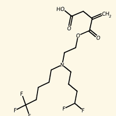 C=C(CC(=O)O)C(=O)OCCN(CCCCC(F)(F)F)CCCC(F)F